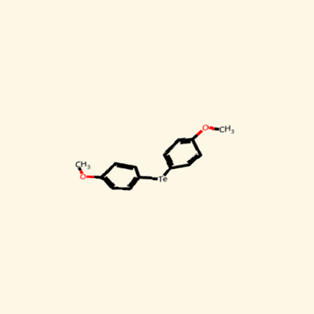 COc1ccc([Te]c2ccc(OC)cc2)cc1